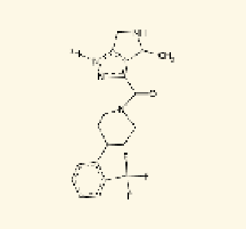 [2H]n1nc(C(=O)N2CCC(c3ccccc3C(F)(F)F)CC2)c2c1CNC2C